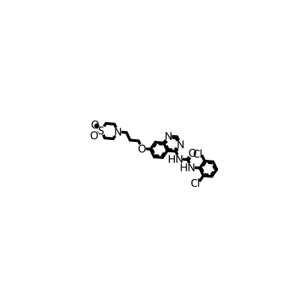 O=C(Nc1c(Cl)cccc1Cl)Nc1ncnc2cc(OCCCN3CCS(=O)(=O)CC3)ccc12